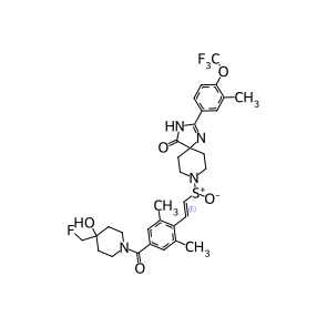 Cc1cc(C2=NC3(CCN([S+]([O-])/C=C/c4c(C)cc(C(=O)N5CCC(O)(CF)CC5)cc4C)CC3)C(=O)N2)ccc1OC(F)(F)F